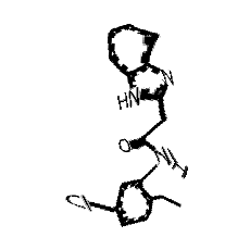 Cc1ccc(Cl)cc1NC(=O)Cc1nc2ccccc2[nH]1